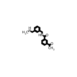 CNCc1cccc(CNC(=O)c2cccc(C(C)=O)c2)c1